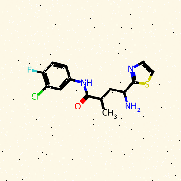 CC(CC(N)c1nccs1)C(=O)Nc1ccc(F)c(Cl)c1